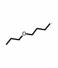 [CH2]CC[CH]OCCC